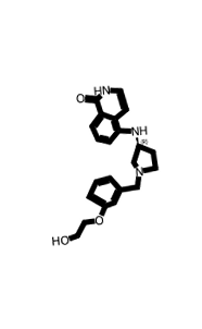 O=c1[nH]ccc2c(N[C@@H]3CCN(Cc4cccc(OCCO)c4)C3)cccc12